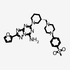 CS(=O)(=O)c1ccc(N2CCN(C[C@H]3CCCN(c4nc(N)n5nc(-c6ccco6)nc5n4)C3)CC2)cc1